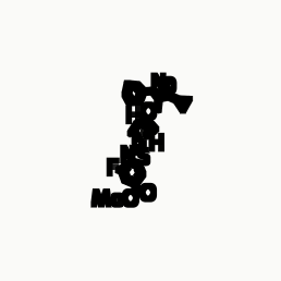 COC(=O)c1cc(F)c2nc(N3C[C@@H]4C[C@H]3C[C@H]4OCc3c(-c4ccccc4)noc3C3CC3)sc2c1